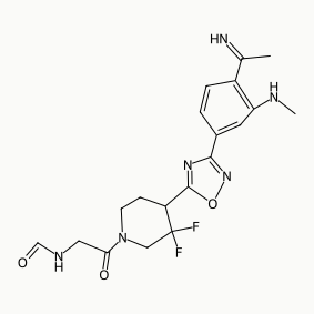 CNc1cc(-c2noc(C3CCN(C(=O)CNC=O)CC3(F)F)n2)ccc1C(C)=N